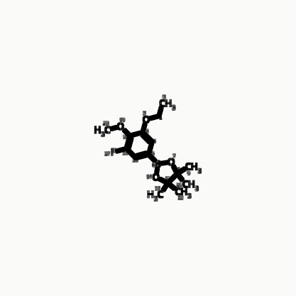 CCOc1cc(B2OC(C)(C)C(C)(C)O2)cc(F)c1OC